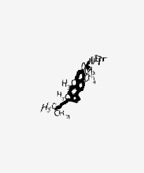 CCCNCC(=O)OC1CCC2(C)C3=C(CCC2C1(C)C)C1CCC(CCCC=C(C)C)C1(C)CC3